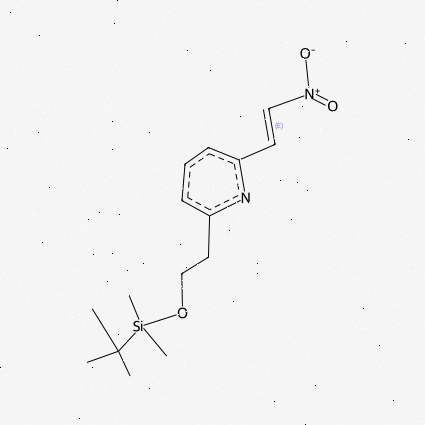 CC(C)(C)[Si](C)(C)OCCc1cccc(/C=C/[N+](=O)[O-])n1